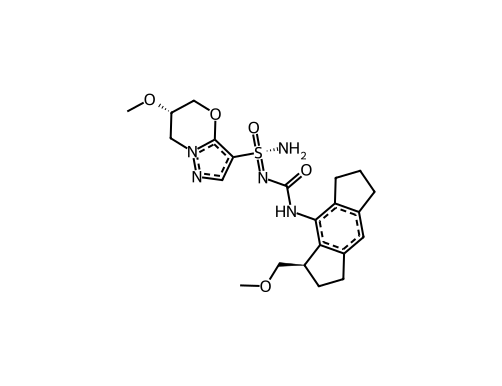 COC[C@@H]1CCc2cc3c(c(NC(=O)N=[S@](N)(=O)c4cnn5c4OC[C@@H](OC)C5)c21)CCC3